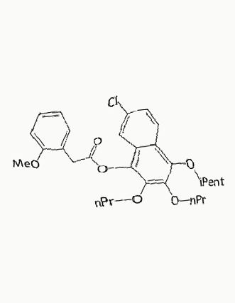 CCCOc1c(OCCC)c(OC(C)CCC)c2ccc(Cl)cc2c1OC(=O)Cc1ccccc1OC